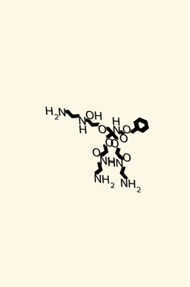 NCCCNC(=O)CCOCC(COCCC(=O)NCCCN)(COCCC(O)NCCCN)NC(=O)OCc1ccccc1